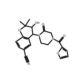 CC1(C)Oc2ccc(C#N)cc2C(N2CCN(C(=O)c3ccco3)CC2=O)C1O